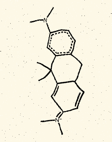 CN(C)c1ccc2c(c1)C(C)(C)C1=CC(=[N+](C)C)C=CC1C2